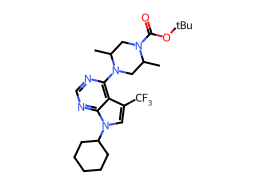 CC1CN(c2ncnc3c2c(C(F)(F)F)cn3C2CCCCC2)C(C)CN1C(=O)OC(C)(C)C